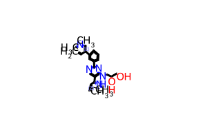 C=C/C(=C\N(C)C)c1cccc(-c2ncc(C(/C=C\C)=N/C)c(NCC(O)CO)n2)c1